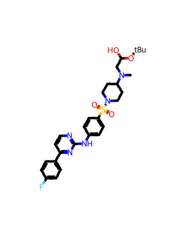 CN(CC(O)OC(C)(C)C)C1CCN(S(=O)(=O)c2ccc(Nc3nccc(-c4ccc(F)cc4)n3)cc2)CC1